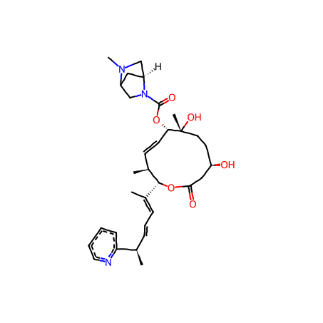 C/C(=C\C=C\[C@@H](C)c1ccccn1)[C@H]1OC(=O)C[C@H](O)CC[C@@](C)(O)[C@@H](OC(=O)N2CC3C[C@H]2CN3C)/C=C/[C@@H]1C